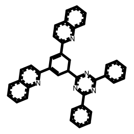 C1=C(c2ccc3ccccc3n2)C=C(c2ccc3ccccc3n2)CC1c1nc(-c2ccccc2)nc(-c2ccccc2)n1